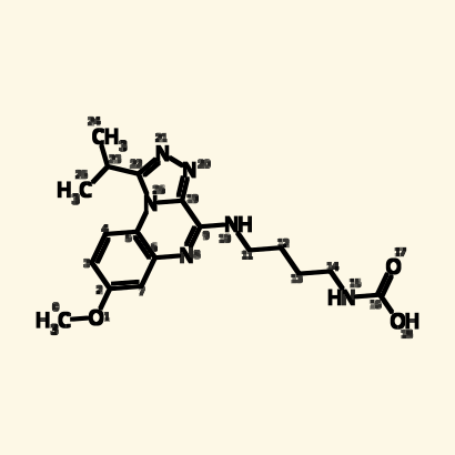 COc1ccc2c(c1)nc(NCCCCNC(=O)O)c1nnc(C(C)C)n12